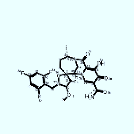 COC1[C@@H](F)[C@]2(CC[C@H](C)N3C[C@H]2n2cc(C(N)=O)c(=O)c(O)c2C3=O)ON1Cc1c(F)cc(F)cc1F